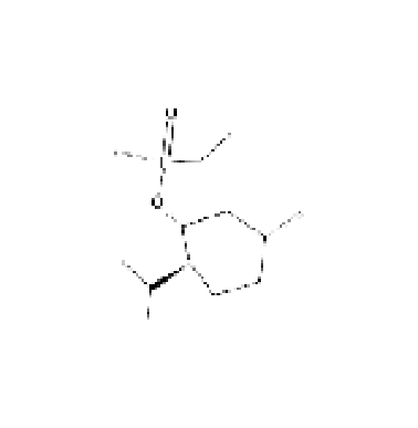 CC[P@](C)(=O)O[C@@H]1C[C@H](C)CC[C@H]1C(C)C